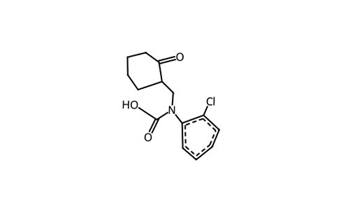 O=C1CCCCC1CN(C(=O)O)c1ccccc1Cl